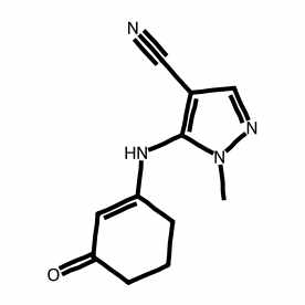 Cn1ncc(C#N)c1NC1=CC(=O)CCC1